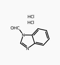 Cl.Cl.O=Cn1cnc2ccccc21